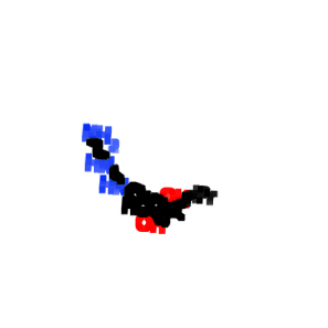 CC(C)CCC[C@@H](C)[C@H]1CCC2C3C(C[C@H](O)[C@@]21C)[C@@]1(C)CC[C@H](NCCCNCCCCN)C[C@@H]1C[C@H]3O